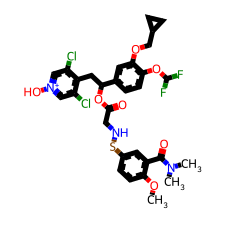 COc1ccc(SNCC(=O)OC(Cc2c(Cl)c[n+](O)cc2Cl)c2ccc(OC(F)F)c(OCC3CC3)c2)cc1C(=O)N(C)C